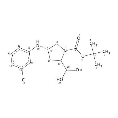 CC(C)(C)OC(=O)N1C[C@@H](Nc2cccc(Cl)c2)CC1C(=O)O